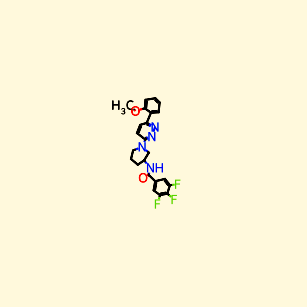 COc1ccccc1-c1ccc(N2CCCC(NC(=O)c3cc(F)c(F)c(F)c3)C2)nn1